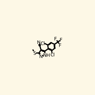 CSc1n[nH]c(-c2c(Cl)cc(C(F)(F)F)cc2Cl)c1C#N